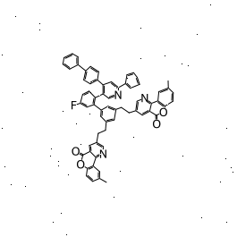 Cc1ccc2oc(=O)c3cc(CCc4cc(CCc5cnc6c(c5)c(=O)oc5ccc(C)cc56)cc(-c5cc(F)ccc5-c5cnc(-c6ccccc6)cc5-c5ccc(-c6ccccc6)cc5)c4)cnc3c2c1